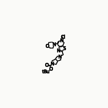 CC(C)(C)OC(=O)N1CC2CN(Cc3nc4c(s3)CN(Cl)C=C4N3CCOCC3)CC2C1